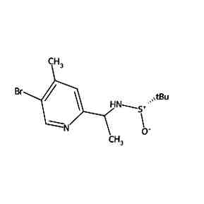 Cc1cc(C(C)N[S@@+]([O-])C(C)(C)C)ncc1Br